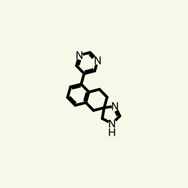 C1=NC2(CCc3c(cccc3-c3cncnc3)C2)CN1